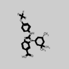 C[C@H]1C[C@H](n2c(Nc3ccc(OC(F)(F)F)cc3)nc3ccc(C(=O)O)cc32)CC(C)(C)C1